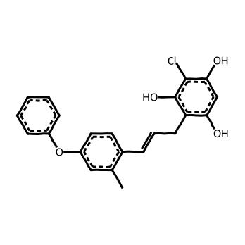 Cc1cc(Oc2ccccc2)ccc1/C=C/Cc1c(O)cc(O)c(Cl)c1O